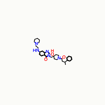 CC(CC(=O)N1CCC(O)(Cn2cnc3cc(NCCN4CCCCC4)ccc3c2=O)CC1)c1ccccc1